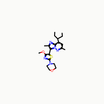 CCC(CC)c1cc(C)nn2c(-c3sc(N4CCOCC4)nc3OC)c(C)nc12